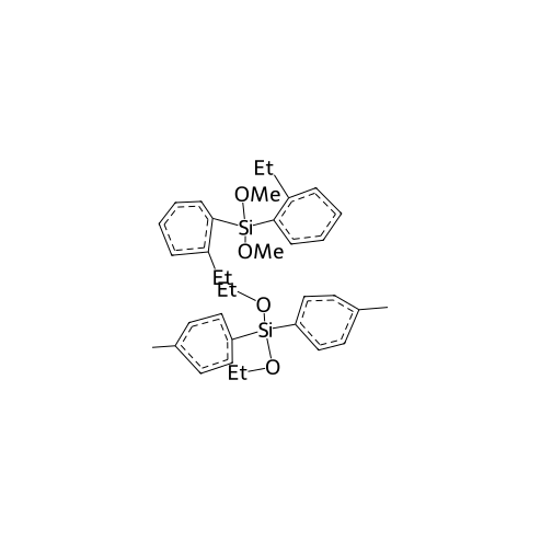 CCO[Si](OCC)(c1ccc(C)cc1)c1ccc(C)cc1.CCc1ccccc1[Si](OC)(OC)c1ccccc1CC